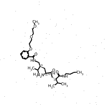 CCCCNC(=O)[C@@H](C[C@H](O)[C@@H](N)C[C@H](CNC(=O)c1ccccc1OCCOCCOC)C(C)C)C(C)C